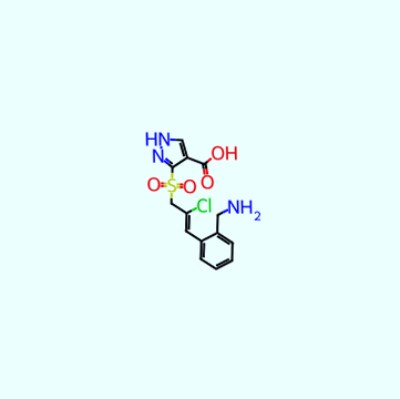 NCc1ccccc1C=C(Cl)CS(=O)(=O)c1n[nH]cc1C(=O)O